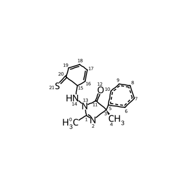 CC1=N[C@@](C)(c2ccccc2)C(=O)N1NC1C=CC=CC1=S